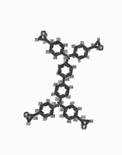 c1cc(N(c2ccc(C3CO3)cc2)c2ccc(C3CO3)cc2)ccc1-c1ccc(N(c2ccc(C3CO3)cc2)c2ccc(C3CO3)cc2)cc1